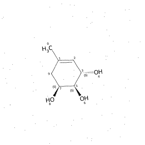 CC1=C[C@H](O)[C@@H](O)[C@@H](O)C1